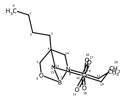 CCCCC12COB(N(S(=O)(=O)CC)C1)N(S(=O)(=O)CC)C2